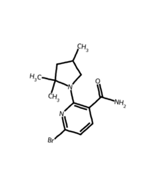 CC1CN(c2nc(Br)ccc2C(N)=O)C(C)(C)C1